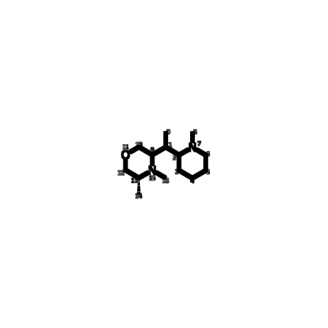 CC(C1CCCCN1C)C1COC[C@@H](C)N1C